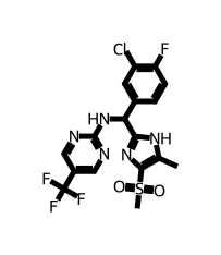 Cc1[nH]c(C(Nc2ncc(C(F)(F)F)cn2)c2ccc(F)c(Cl)c2)nc1S(C)(=O)=O